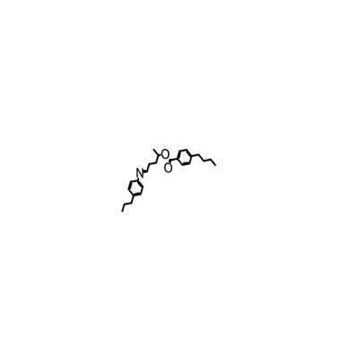 CCCCc1ccc(C(=O)OC(C)CCC=Nc2ccc(CCC)cc2)cc1